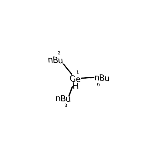 CCC[CH2][GeH]([CH2]CCC)[CH2]CCC